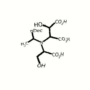 CCCCCCCCCCC(C)N(C(CO)C(=O)O)C(C(=O)O)C(O)C(=O)O